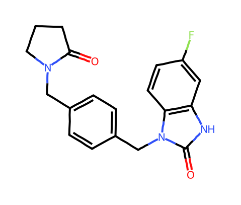 O=C1CCCN1Cc1ccc(Cn2c(=O)[nH]c3cc(F)ccc32)cc1